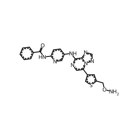 NOCc1cc(-c2cnc(Nc3ccc(NC(=O)c4ccccc4)nc3)c3ncnn23)cs1